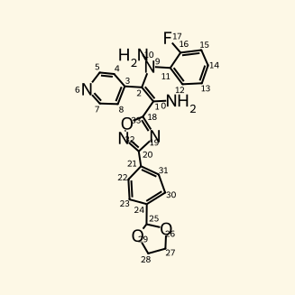 N/C(=C(/c1ccncc1)N(N)c1ccccc1F)c1nc(-c2ccc(C3OCCO3)cc2)no1